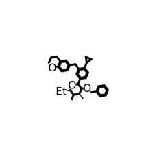 CC[C@H]1OC(c2ccc(C3CC3)c(Cc3ccc4c(c3)CCCO4)c2)C(OCc2ccccc2)[C@@H](C)C1C